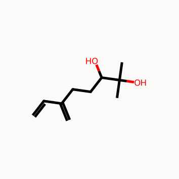 C=CC(=C)CCC(O)C(C)(C)O